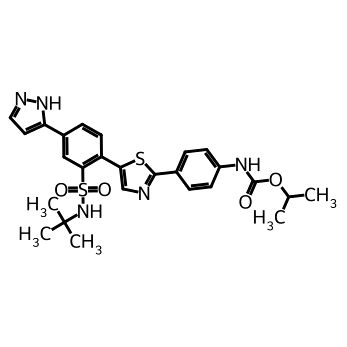 CC(C)OC(=O)Nc1ccc(-c2ncc(-c3ccc(-c4ccn[nH]4)cc3S(=O)(=O)NC(C)(C)C)s2)cc1